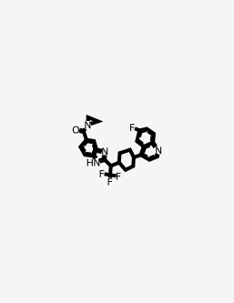 O=C(c1ccc2[nH]c(C(C3CCC(c4ccnc5ccc(F)cc45)CC3)C(F)(F)F)nc2c1)N1CC1